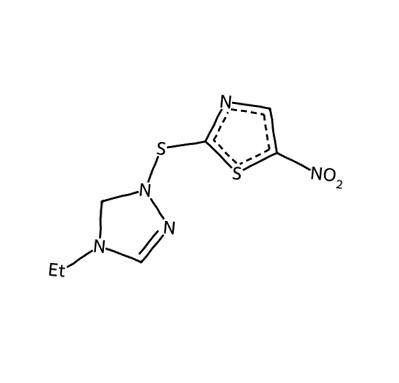 CCN1C=NN(Sc2ncc([N+](=O)[O-])s2)C1